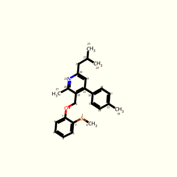 CSc1ccccc1OCc1c(-c2ccc(C)cc2)[c]c(CC(C)C)nc1C